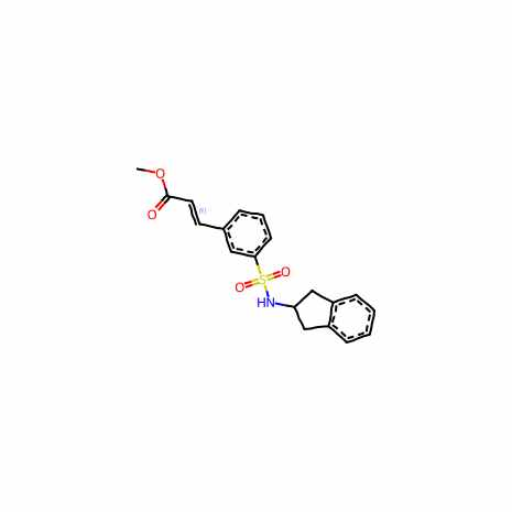 COC(=O)/C=C/c1cccc(S(=O)(=O)NC2Cc3ccccc3C2)c1